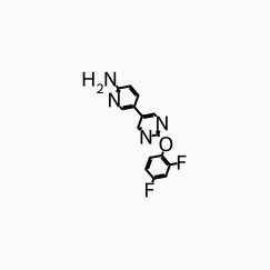 Nc1ccc(-c2cnc(Oc3ccc(F)cc3F)nc2)cn1